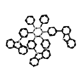 c1ccc(B2N(c3ccc(-c4cccc5c4sc4ccccc45)cc3)B(c3ccccc3)N(c3cccc(-n4c5ccccc5c5ccccc54)c3)B(c3cccc(-n4c5ccccc5c5ccccc54)c3)N2c2ccccc2)cc1